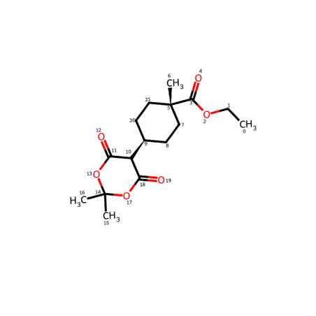 CCOC(=O)[C@]1(C)CC[C@@H](C2C(=O)OC(C)(C)OC2=O)CC1